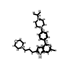 Cc1cc2[nH]c(CCCN3CCOCC3)cc2c(-c2ccc(N3CCN(C(C)C)CC3)cc2)n1